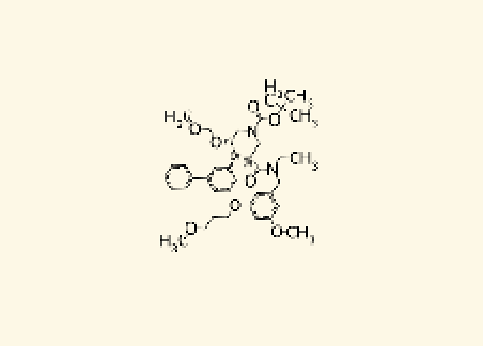 CCN(Cc1cc(OC)cc(OCCCOC)c1)C(=O)[C@H]1CN(C(=O)OC(C)(C)C)C[C@@H](OCOC)[C@@H]1c1cccc(-c2ccccc2)c1